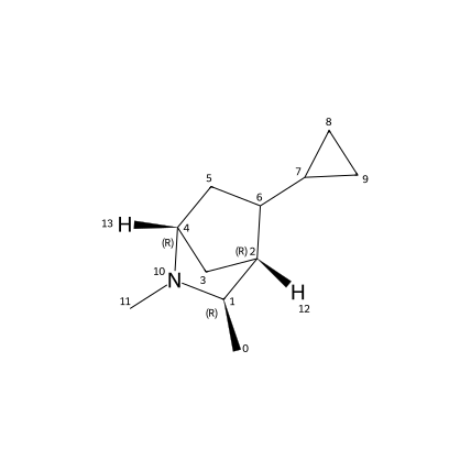 C[C@@H]1[C@@H]2C[C@@H](CC2C2CC2)N1C